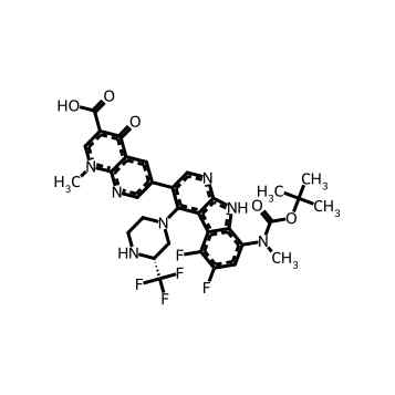 CN(C(=O)OC(C)(C)C)c1cc(F)c(F)c2c1[nH]c1ncc(-c3cnc4c(c3)c(=O)c(C(=O)O)cn4C)c(N3CCN[C@@H](C(F)(F)F)C3)c12